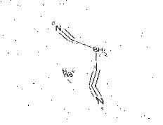 N#C[BH2-]C#N.[Na+]